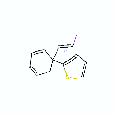 I/C=C/C1(c2cccs2)C=CC=CC1